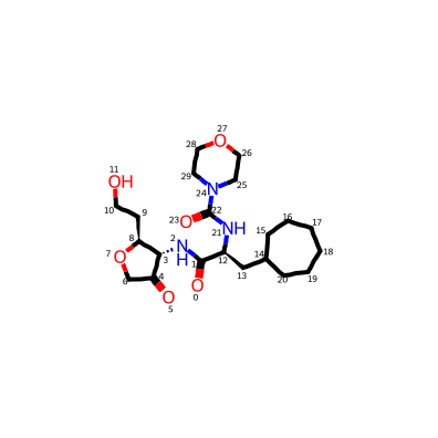 O=C(N[C@@H]1C(=O)CO[C@H]1CCO)[C@H](CC1CCCCCC1)NC(=O)N1CCOCC1